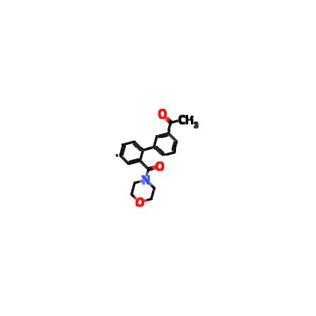 CC(=O)c1cccc(-c2cc[c]cc2C(=O)N2CCOCC2)c1